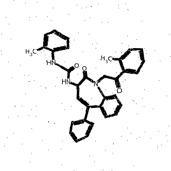 Cc1ccccc1NC(=O)NC1C=C(c2ccccc2)c2ccccc2N(CC(=O)c2ccccc2C)C1=O